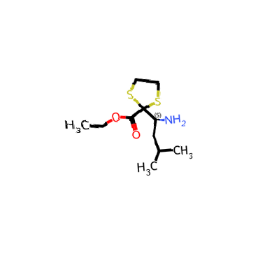 CCOC(=O)C1([C@@H](N)CC(C)C)SCCS1